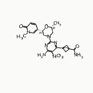 C[C@@H]1CN(c2nc(N)c([N+](=O)[O-])c(C34CC(C(N)=O)(C3)C4)n2)C[C@H](c2ccc(=O)n(C)c2)O1